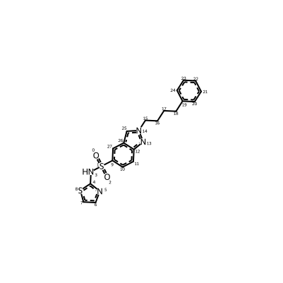 O=S(=O)(Nc1nccs1)c1ccc2nn(CCCCc3ccccc3)cc2c1